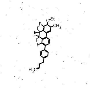 C=CCCc1ccc(-c2ccc3c(c2F)C(F)(F)C(F)(F)C2=C(F)C(OCC)C(C)C=C23)cc1